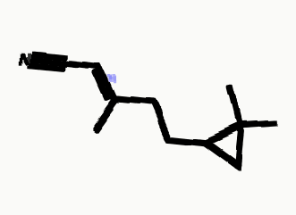 C/C(=C\C#N)CCC1CC1(C)C